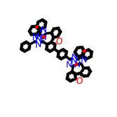 c1ccc(-c2nc(-c3ccc(-c4ccc(-c5nc(-c6ccccc6)nc(-c6ccccc6)n5)c5c4oc4cccc(-c6cnc7ccccc7n6)c45)cc3)nc(-c3cccc4oc5cccc(-c6cnc7ccccc7n6)c5c34)n2)cc1